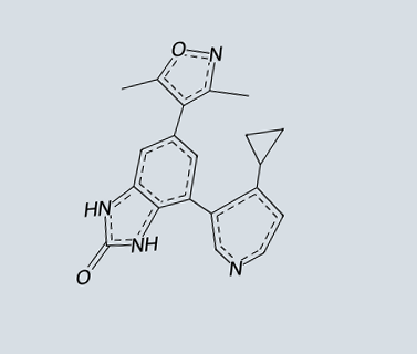 Cc1noc(C)c1-c1cc(-c2cnccc2C2CC2)c2[nH]c(=O)[nH]c2c1